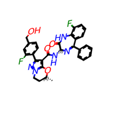 C[C@@H]1CCn2nc(-c3ccc(CO)cc3F)c(C(=O)N[C@H]3N=C(c4ccccc4)c4cccc(F)c4NC3=O)c2O1